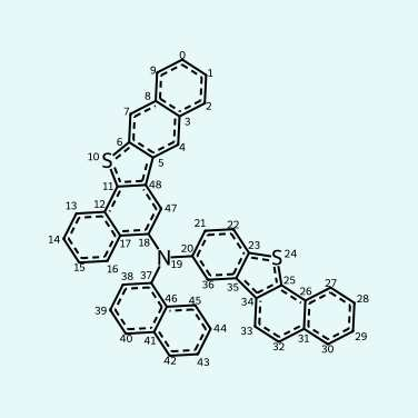 c1ccc2cc3c(cc2c1)sc1c2ccccc2c(N(c2ccc4sc5c6ccccc6ccc5c4c2)c2cccc4ccccc24)cc31